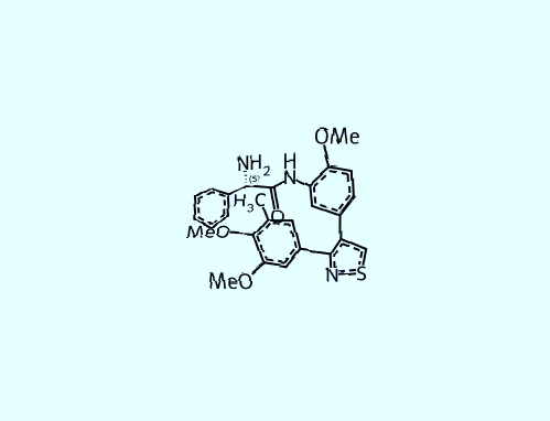 COc1ccc(-c2csnc2-c2cc(C)c(OC)c(OC)c2)cc1NC(=O)[C@@H](N)c1ccccc1